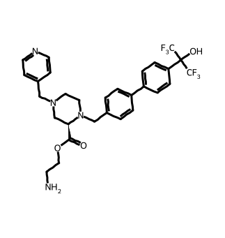 NCCOC(=O)[C@H]1CN(Cc2ccncc2)CCN1Cc1ccc(-c2ccc(C(O)(C(F)(F)F)C(F)(F)F)cc2)cc1